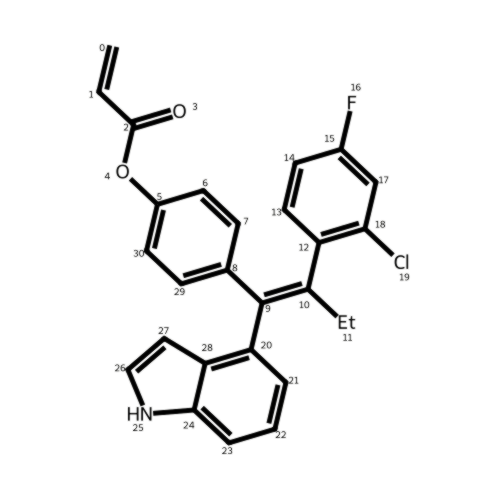 C=CC(=O)Oc1ccc(/C(=C(/CC)c2ccc(F)cc2Cl)c2cccc3[nH]ccc23)cc1